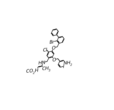 C/C(=C\C(=O)O)NCc1cc(Cl)c(OCc2cccc(-c3ccccc3)c2Br)cc1OCC(/C=C\I)=C/N